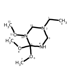 CCN1CNC(OC)(OC)N(OC)C1